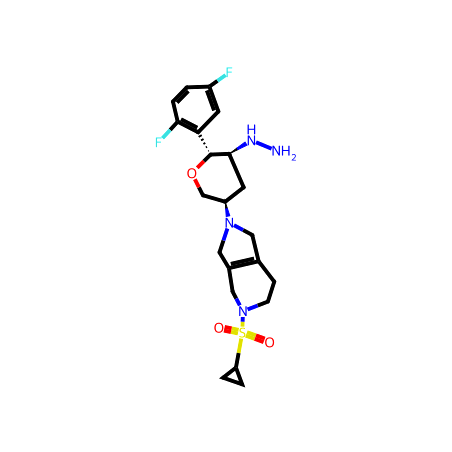 NN[C@H]1C[C@@H](N2CC3=C(C2)CN(S(=O)(=O)C2CC2)CC3)CO[C@@H]1c1cc(F)ccc1F